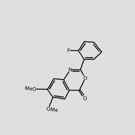 COc1cc2nc(-c3ccccc3F)oc(=O)c2cc1OC